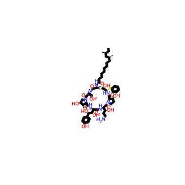 CC[C@H](C)C[C@H](C)CCCCCCCCC(=O)N[C@H]1C[C@@H](O)[C@@H](Sc2ccccc2)NC(=O)[C@@H]2[C@@H](O)CCN2C(=O)[C@H]([C@H](O)CCN)NC(=O)[C@H]([C@H](O)[C@@H](O)c2ccc(O)cc2)NC(=O)[C@@H]2C[C@@H](O)CN2C(=O)/C(CO)=N/C1=O